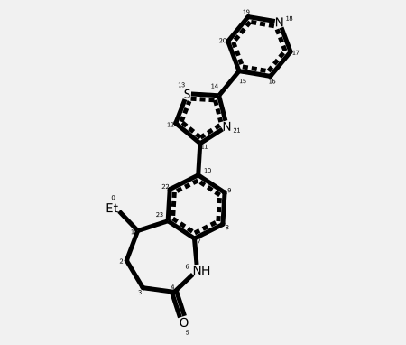 CCC1CCC(=O)Nc2ccc(-c3csc(-c4ccncc4)n3)cc21